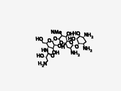 CNC1C(O[C@H]2OC(CO)[C@@H](NC(=O)[C@@H](O)CN)C(O)C2O)O[C@H]2CC(N)[C@@H](O[C@H]3C(N)C[C@@H](N)C(O)[C@H]3O)OC2[C@@H]1O